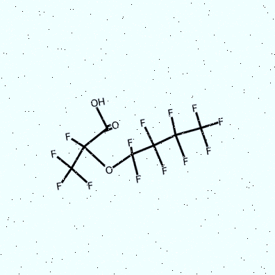 O=C(O)C(F)(OC(F)(F)C(F)(F)C(F)(F)C(F)(F)F)C(F)(F)F